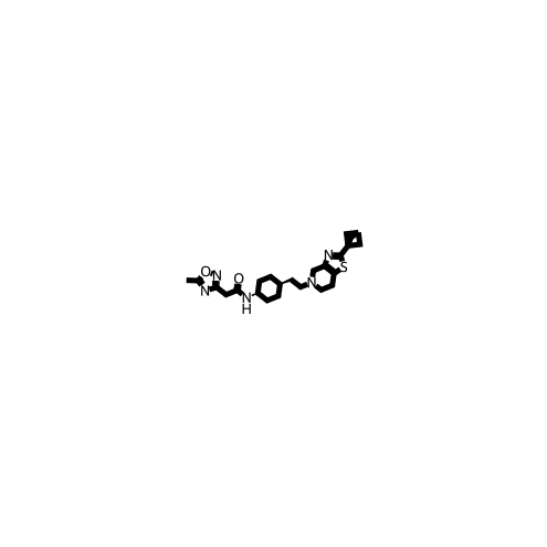 Cc1nc(CC(=O)N[C@H]2CC[C@H](CCN3CCc4sc(C56CC(C5)C6)nc4C3)CC2)no1